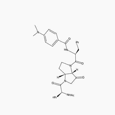 CCC[C@H](NC(C)=O)C(=O)N1CC(=O)[C@@H]2[C@H]1CCN2C(=O)[C@H](CC(C)C)NC(=O)c1ccc(N(C)C)cc1